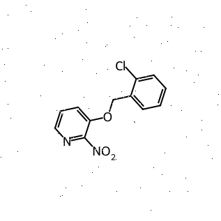 O=[N+]([O-])c1ncccc1OCc1ccccc1Cl